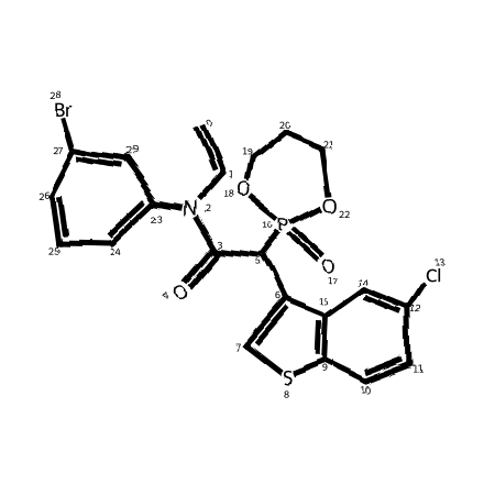 C=CN(C(=O)C(c1csc2ccc(Cl)cc12)P1(=O)OCCCO1)c1cccc(Br)c1